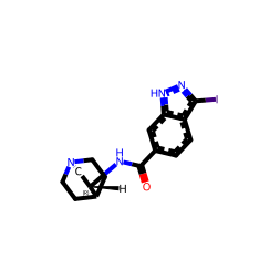 O=C(N[C@H]1CN2CCC1CC2)c1ccc2c(I)n[nH]c2c1